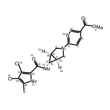 COC(=O)c1ccc(N2C[C@@H]3[C@H](C2)[C@H]3NC(=O)c2[nH]c(C)c(Cl)c2Cl)nc1